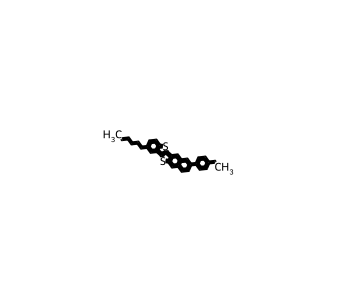 CCCCCCc1ccc2sc3c4cc5cc(-c6ccc(CC)cc6)ccc5cc4sc3c2c1